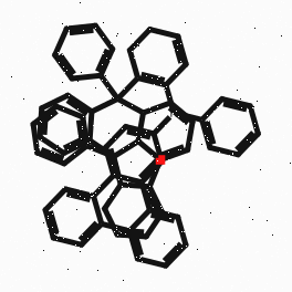 C1=CCC2C(=C1)C1=CC=CC3C1C2(c1ccccc1)c1ccccc1C3(C1=C(N(c2ccccc2)c2ccc3c4ccccc4c4ccccc4c3c2)C=CCC1)c1ccccc1